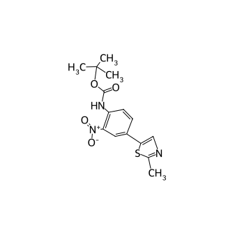 Cc1ncc(-c2ccc(NC(=O)OC(C)(C)C)c([N+](=O)[O-])c2)s1